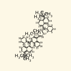 CC1(C)c2cc(N(c3ccccc3)c3cccc4c([Si](C)(C)C)cccc34)ccc2-c2c1cc(N(c1ccccc1)c1cccc3c([Si](C)(C)C)cccc13)c1ccccc21